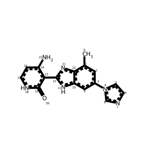 Cc1cc(-n2ccnc2)cc2[nH]c(-c3c(N)cc[nH]c3=O)nc12